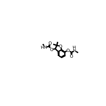 CNC(=O)Oc1cccc2c1OC(C)(C)C2OC(=O)NC